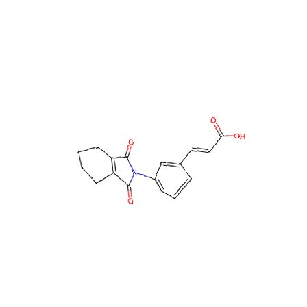 O=C(O)C=Cc1cccc(N2C(=O)C3=C(CCCC3)C2=O)c1